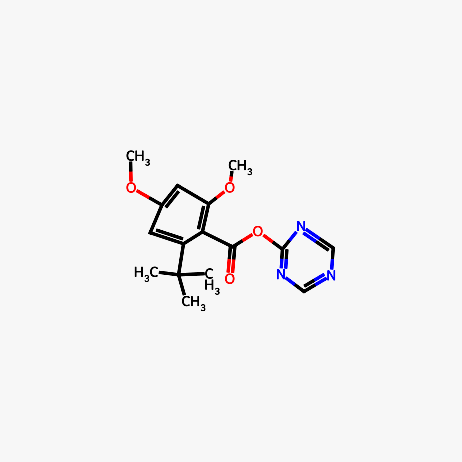 COc1cc(OC)c(C(=O)Oc2ncncn2)c(C(C)(C)C)c1